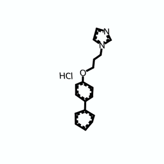 Cl.c1ccc(-c2ccc(OCCCn3ccnc3)cc2)cc1